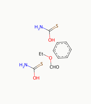 CCOC=O.NC(O)=S.NC(O)=S.c1ccccc1